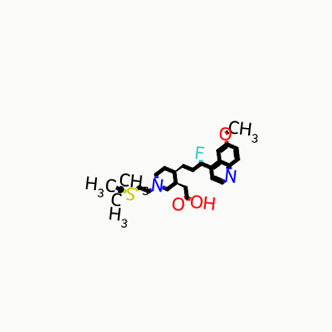 COc1ccc2nccc(C(F)CC[C@@H]3CCN(CCSC(C)(C)C)C[C@@H]3CC(=O)O)c2c1